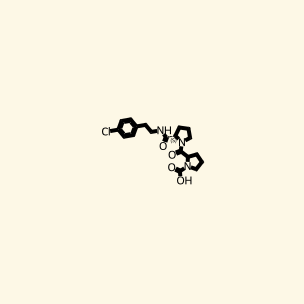 O=C(NCCc1ccc(Cl)cc1)[C@@H]1CCCN1C(=O)C1CCCN1C(=O)O